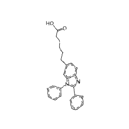 O=C(O)CCCCCc1ccc2nc(-c3ccccc3)n(-c3ccccc3)c2c1